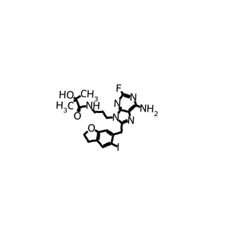 CC(C)(O)C(=O)NCCCn1c(Cc2cc3c(cc2I)CCO3)nc2c(N)nc(F)nc21